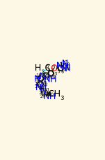 Cc1c(Oc2ccn3ncnc3n2)ccc(Nc2ncnc3cnc(N4CCN[C@H](C)C4)nc23)c1F